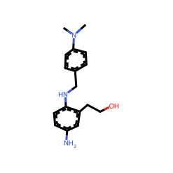 CN(C)c1ccc(CNc2ccc(N)cc2CCO)cc1